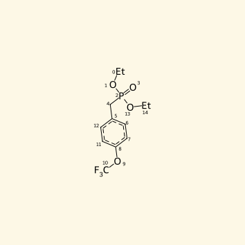 CCOP(=O)(Cc1ccc(OC(F)(F)F)cc1)OCC